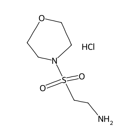 Cl.NCCS(=O)(=O)N1CCOCC1